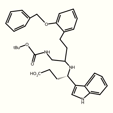 CC(C)(C)OC(=O)NCC(CCc1ccccc1OCc1ccccc1)N[C@@H](CCC(=O)O)c1c[nH]c2ccccc12